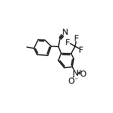 Cc1ccc(C(C#N)c2ccc([N+](=O)[O-])cc2C(F)(F)F)cc1